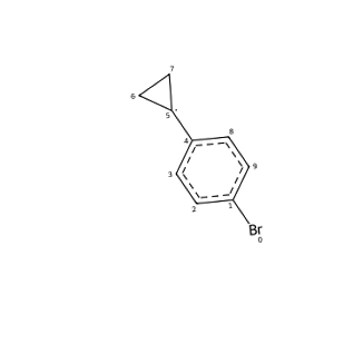 Brc1ccc([C]2CC2)cc1